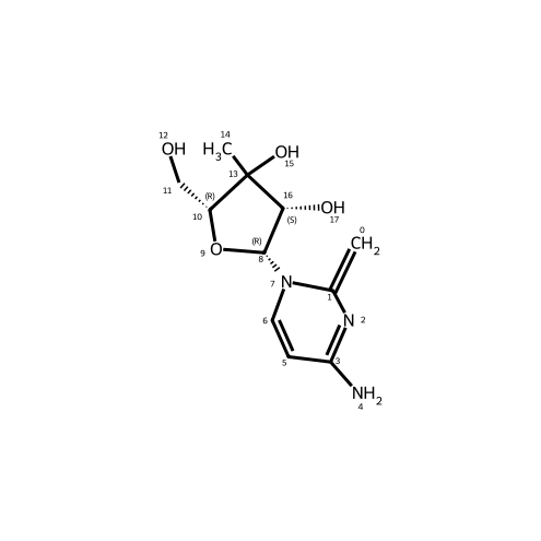 C=C1N=C(N)C=CN1[C@@H]1O[C@H](CO)C(C)(O)[C@@H]1O